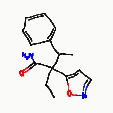 CCC(C(N)=O)(c1ccno1)C(C)c1ccccc1